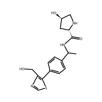 CC(NC(=O)[C@@H]1C[C@@H](O)CN1)c1ccc(-c2scnc2CO)cc1